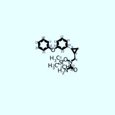 C[Si](C)(C)ON(C[C@@H]1C[C@H]1c1cccc(Oc2ccccc2)c1)C(N)=O